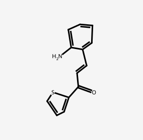 Nc1ccccc1C=CC(=O)c1cccs1